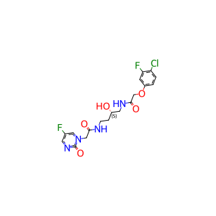 O=C(COc1ccc(Cl)c(F)c1)NC[C@@H](O)CCNC(=O)Cn1cc(F)cnc1=O